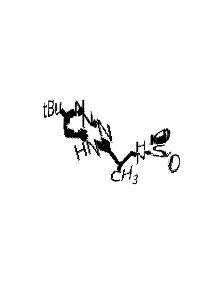 CC(CN[SH](=O)=O)c1nn2nc(C(C)(C)C)cc2[nH]1